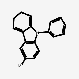 Brc1ccc2c(c1)c1c(n2-c2ccccc2)=CCCC=1